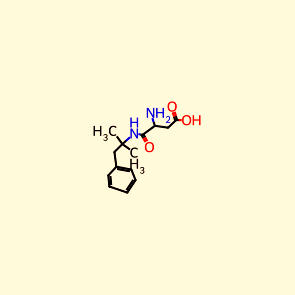 CC(C)(Cc1ccccc1)NC(=O)C(N)CC(=O)O